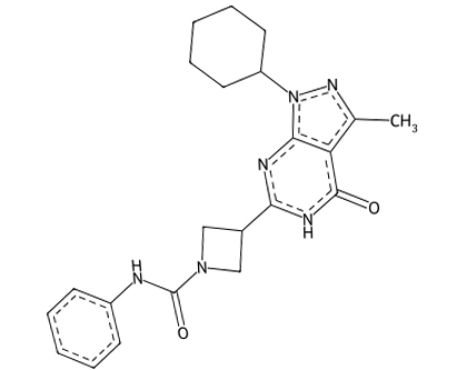 Cc1nn(C2CCCCC2)c2nc(C3CN(C(=O)Nc4ccccc4)C3)[nH]c(=O)c12